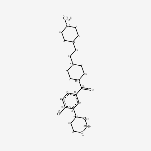 O=C(O)N1CCC(CCN2CCN(C(=O)c3ccc(Cl)c(N4CCONO4)c3)CC2)CC1